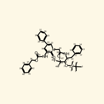 CC(C)(C)[Si](C)(C)OC(C(Cc1ccccc1)NC(=O)Cn1cc(-c2ccccc2)cc(NC(=O)OCc2ccccc2)c1=O)C(F)(F)F